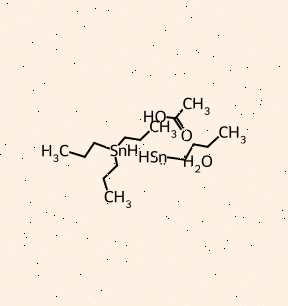 CC(=O)O.CCC[CH2][SnH].CC[CH2][SnH]([CH2]CC)[CH2]CC.O